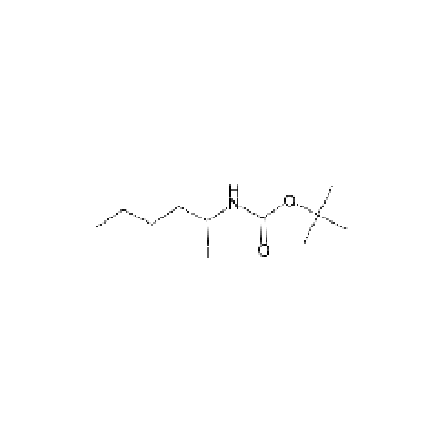 CCCCC(I)NC(=O)OC(C)(C)C